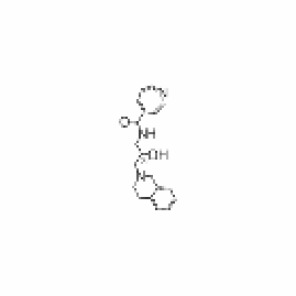 O=C(NC[C@@H](O)CN1CCc2ccccc2C1)C1=CC=C=NC=C1